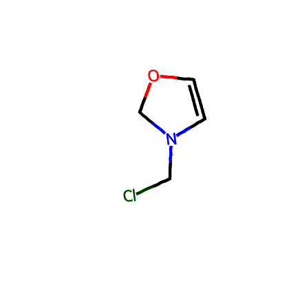 ClCN1C=COC1